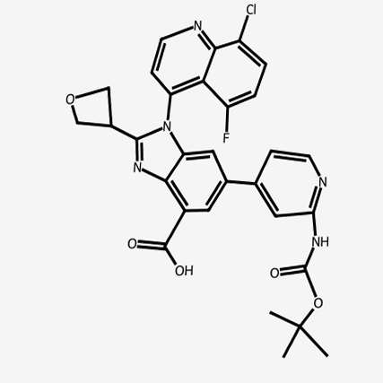 CC(C)(C)OC(=O)Nc1cc(-c2cc(C(=O)O)c3nc(C4COC4)n(-c4ccnc5c(Cl)ccc(F)c45)c3c2)ccn1